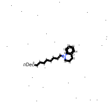 CCCCCCCCCCCCCCCCCCN1[CH]CCc2ccccc21